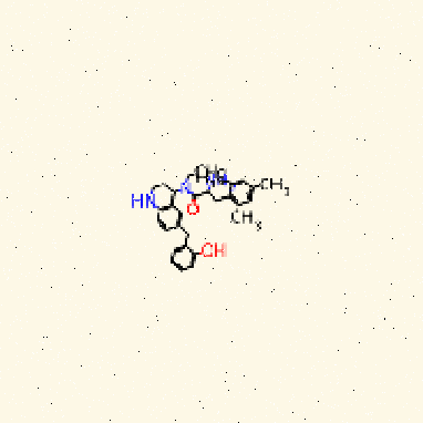 CCN(C(=O)C(N)Cc1c(C)cc(C)cc1C)C1CCNc2ccc(Cc3ccccc3O)cc21